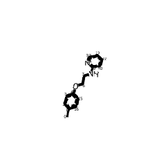 Cc1ccc(OCCNc2ccccn2)cc1